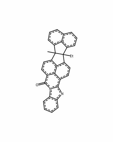 CCC12c3cccc4cccc(c34)C1(C)c1ccc3c(=O)n4c5ccccc5nc4c4ccc2c1c34